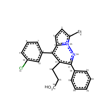 CCc1ccc2c(-c3cccc(Cl)c3)c(CCC(=O)O)c(-c3ccccc3)nn12